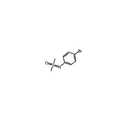 CS(C)(=O)=Nc1ccc(Br)cc1